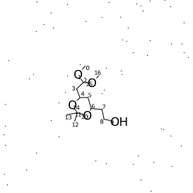 COC(CC1CC(CCO)OC(C)(C)O1)OC